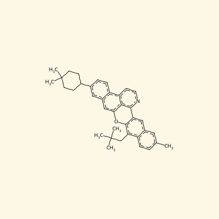 Cc1ccc2c(CC(C)(C)C)c3c(cc2c1)-c1nccc2c1c(cc1cc(C4CCC(C)(C)CC4)ccc12)O3